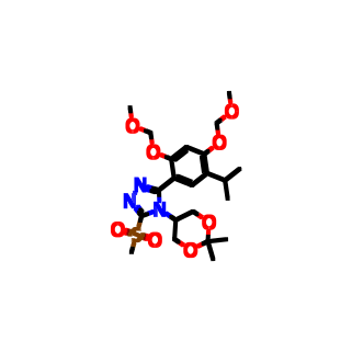 COCOc1cc(OCOC)c(C(C)C)cc1-c1nnc(S(C)(=O)=O)n1C1COC(C)(C)OC1